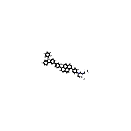 C=N/C(=C\C=C/C)c1ccc(-c2ccc3ccc4c(-c5ccc(-c6ccc7c(c6)c6ccccc6n7-c6ccccc6)cc5)ccc5ccc2c3c54)cc1